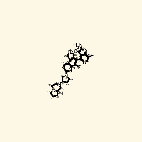 N#Cc1c(N)sc2c(F)cnc(-c3c4c(c5cnc(N6CC[C@@H](N7CCN8CCC[C@@H]8C7)C6)nc5c3F)COC4)c12